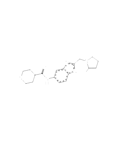 CC1CCCN1Cc1nc2cc(NC(=O)C3CCNCC3)ccc2[nH]1